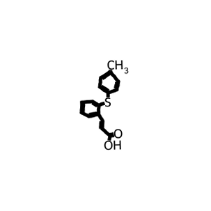 Cc1ccc(Sc2ccccc2C=CC(=O)O)cc1